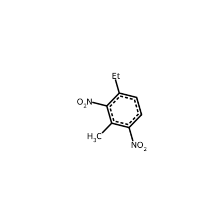 CCc1ccc([N+](=O)[O-])c(C)c1[N+](=O)[O-]